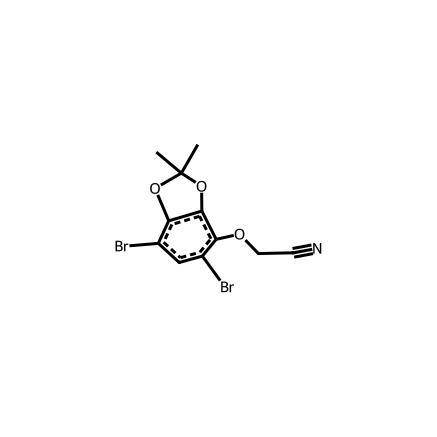 CC1(C)Oc2c(Br)cc(Br)c(OCC#N)c2O1